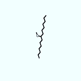 CCCCCCCC(CCCCCCC)OC